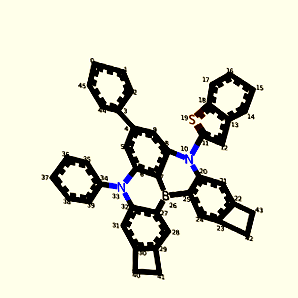 c1ccc(-c2cc3c4c(c2)N(c2cc5ccccc5s2)c2cc5c(cc2B4c2cc4c(cc2N3c2ccccc2)CC4)CC5)cc1